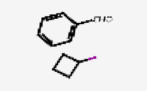 IC1CCC1.O=Cc1ccccc1